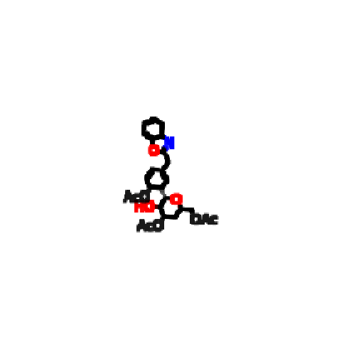 CC(=O)OCC1CC(OC(C)=O)[C@@H](O)[C@H](c2cc(Cc3nc4ccccc4o3)ccc2OC(C)=O)O1